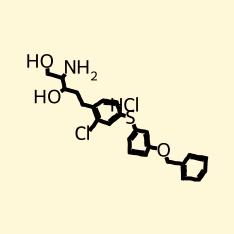 Cl.NC(CO)C(O)CCc1ccc(Sc2cccc(OCc3ccccc3)c2)cc1Cl